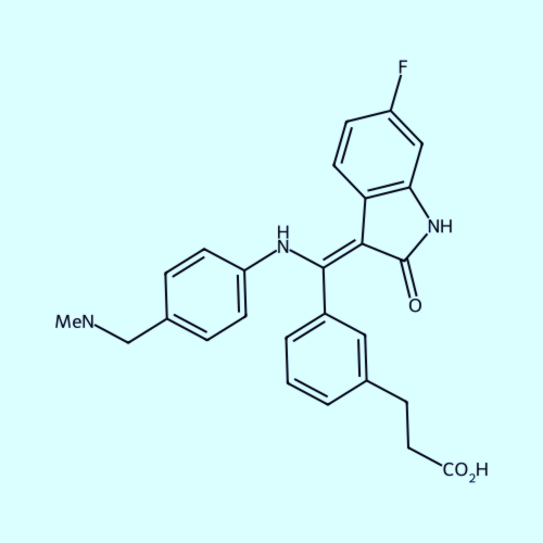 CNCc1ccc(NC(=C2C(=O)Nc3cc(F)ccc32)c2cccc(CCC(=O)O)c2)cc1